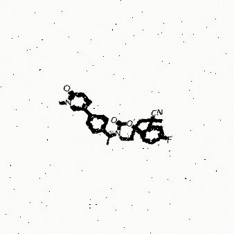 C[C@@H](c1ccc(-c2ccc(=O)n(C)c2)cc1)N1CCC(CC(C)(C)C#N)(c2ccc(F)cc2)OC1=O